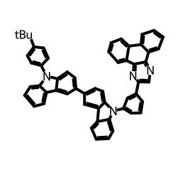 CC(C)(C)c1ccc(-n2c3ccccc3c3cc(-c4ccc5c(c4)c4ccccc4n5-c4cccc(-c5cnc6c7ccccc7c7ccccc7c6n5)c4)ccc32)cc1